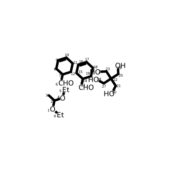 CCOC(C)OCC.O=CC1CC=CCC1.O=CC1CC=CCC1.OCC(CO)(CO)CO